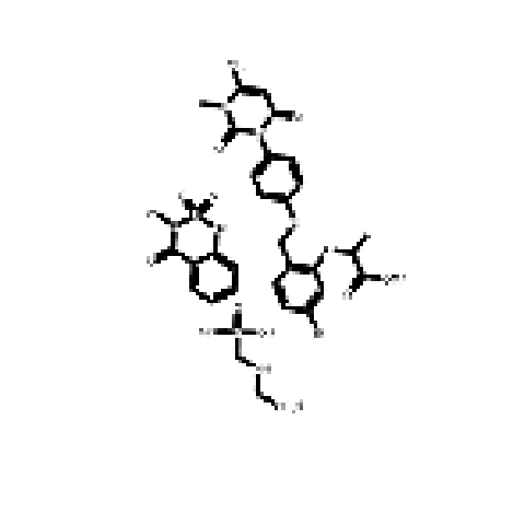 CC(C)N1C(=O)c2ccccc2NS1(=O)=O.CCc1ccc(COc2ccc(-n3c(=O)cc(C(F)(F)F)n(C)c3=O)cc2)c(OC(C)C(=O)OC)c1.O=C(O)CNCP(=O)(O)O